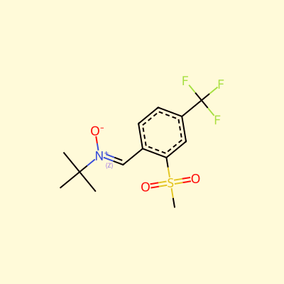 CC(C)(C)/[N+]([O-])=C/c1ccc(C(F)(F)F)cc1S(C)(=O)=O